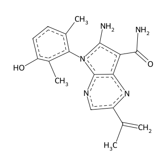 C=C(C)c1cnc2c(n1)c(C(N)=O)c(N)n2-c1c(C)ccc(O)c1C